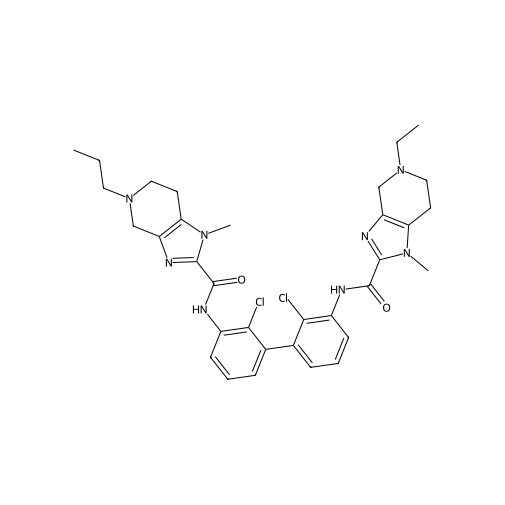 CCCN1CCc2c(nc(C(=O)Nc3cccc(-c4cccc(NC(=O)c5nc6c(n5C)CCN(CC)C6)c4Cl)c3Cl)n2C)C1